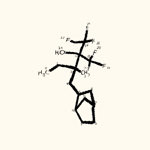 CCC(C)(CC1CC2CCC1C2)C(O)(C(F)(F)F)C(F)(F)F